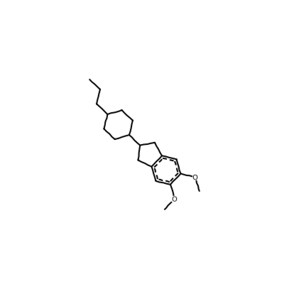 CCCC1CCC(C2Cc3cc(OC)c(OC)cc3C2)CC1